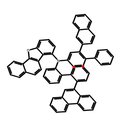 c1ccc(-c2ccc(N(c3ccccc3-c3ccccc3-c3cc4ccccc4c4ccccc34)c3cccc4oc5c6ccccc6ccc5c34)cc2-c2ccc3ccccc3c2)cc1